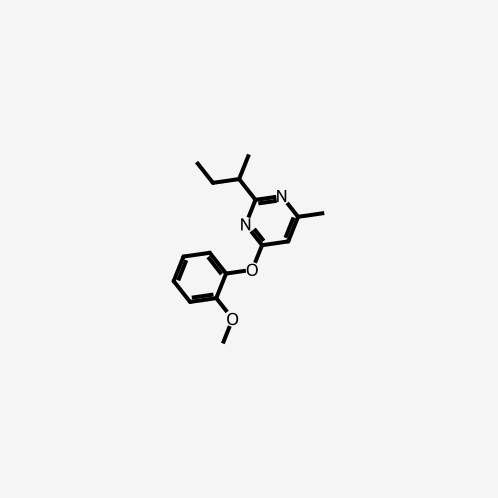 CCC(C)c1nc(C)cc(Oc2ccccc2OC)n1